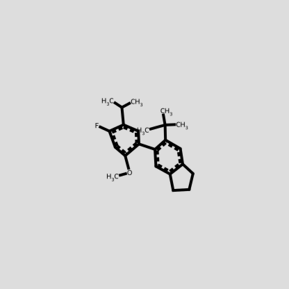 COc1cc(F)c(C(C)C)cc1-c1cc2c(cc1C(C)(C)C)CCC2